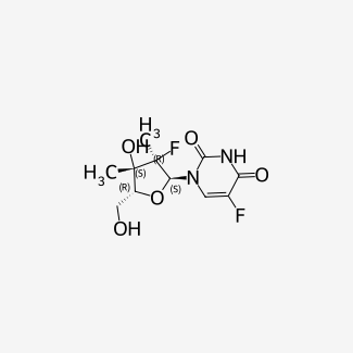 C[C@]1(O)[C@@H](CO)O[C@H](n2cc(F)c(=O)[nH]c2=O)[C@]1(C)F